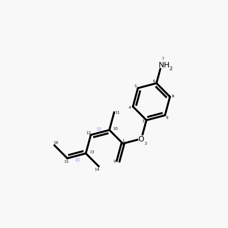 C=C(Oc1ccc(N)cc1)/C(C)=C\C(C)=C/C